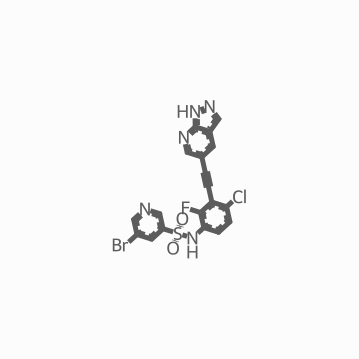 O=S(=O)(Nc1ccc(Cl)c(C#Cc2cnc3[nH]ncc3c2)c1F)c1cncc(Br)c1